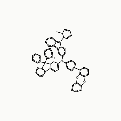 CC1C=CC=CC1n1c2ccccc2c2cc(N(C3=CC=C4c5ccccc5C(c5ccccc5)(c5ccccc5)C4[C@@H]3C)c3ccc(-c4cccc5c4Oc4ccccc4O5)cc3)ccc21